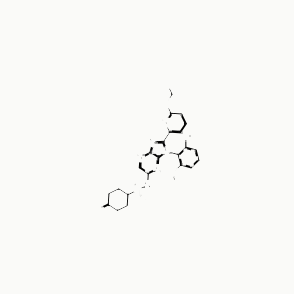 CCOC1=NC(c2nc3ncc(NS(=O)(=O)C4CCC(=O)CC4)nc3n2-c2c(O)cccc2OC)=C=C=C1